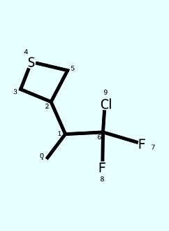 [CH2]C(C1CSC1)C(F)(F)Cl